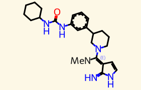 CN/C(=C1/C=CNC1=N)N1CCCC(c2cccc(NC(=O)NC3CCCCC3)c2)C1